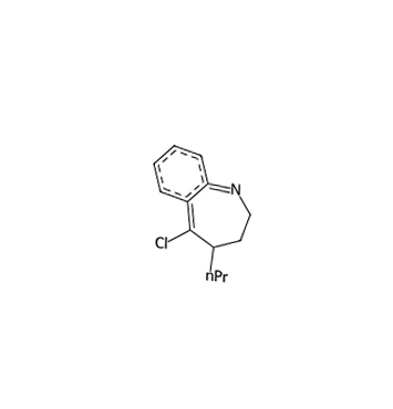 CCCC1CCN=c2ccccc2=C1Cl